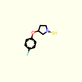 Fc1ccc(OC2CCN(S)C2)cc1